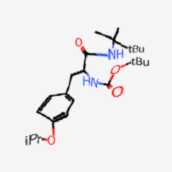 CC(C)Oc1ccc(CC(NC(=O)OC(C)(C)C)C(=O)NC(C)(C)C(C)(C)C)cc1